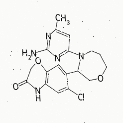 Cc1cc(N2CCCOCC2c2cc3c(cc2Cl)NC(=O)CO3)nc(N)n1